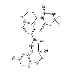 CC1(C)CC(=O)N([C@@H]2CCOc3ccc(C(=O)N[C@@H]4c5cc(Cl)ccc5OC[C@@]4(C)O)cc32)C(=N)N1